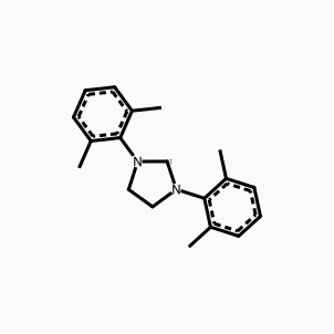 Cc1cccc(C)c1N1[C]N(c2c(C)cccc2C)CC1